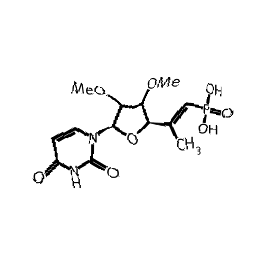 COC1C(OC)[C@H](n2ccc(=O)[nH]c2=O)O[C@@H]1/C(C)=C/P(=O)(O)O